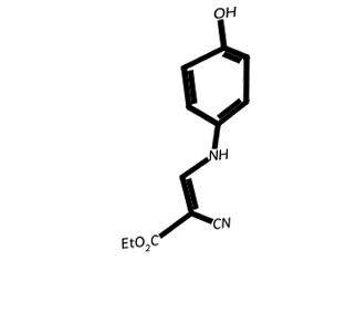 CCOC(=O)C(C#N)=CNc1ccc(O)cc1